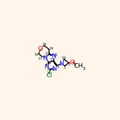 COC1CN(c2nc(Cl)nc3c2nc2n3CCOCC2)C1